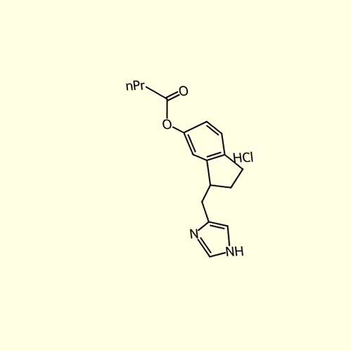 CCCC(=O)Oc1ccc2c(c1)C(Cc1c[nH]cn1)CC2.Cl